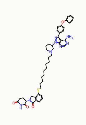 Nc1ncnc2c1c(-c1ccc(Oc3ccccc3)cc1)nn2[C@@H]1CCCN(CCCCCCCCCCCSc2cccc3c2CN(C2CCC(=O)NC2=O)C3=O)C1